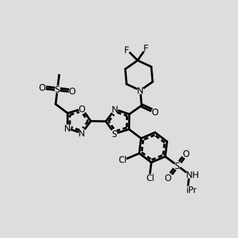 CC(C)NS(=O)(=O)c1ccc(-c2sc(-c3nnc(CS(C)(=O)=O)o3)nc2C(=O)N2CCC(F)(F)CC2)c(Cl)c1Cl